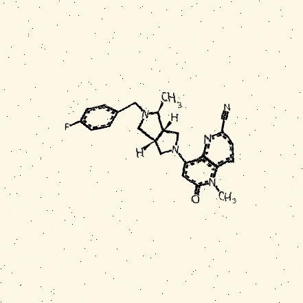 C[C@H]1[C@@H]2CN(c3cc(=O)n(C)c4ccc(C#N)nc34)C[C@@H]2CN1Cc1ccc(F)cc1